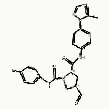 Cc1ccnn1-c1ccc(NC(=O)[C@H]2C[C@@H](C=O)CN2C(=O)Nc2ccc(Cl)cc2)cc1